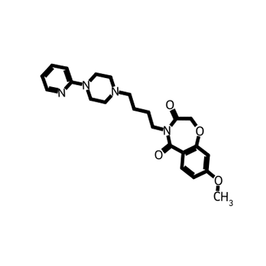 COc1ccc2c(c1)OCC(=O)N(CCCCN1CCN(c3ccccn3)CC1)C2=O